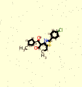 CCc1sc(-c2ccc(Cl)cc2)nc1C(C=O)C(=O)[C@@H]1CC[C@@H](C)C1